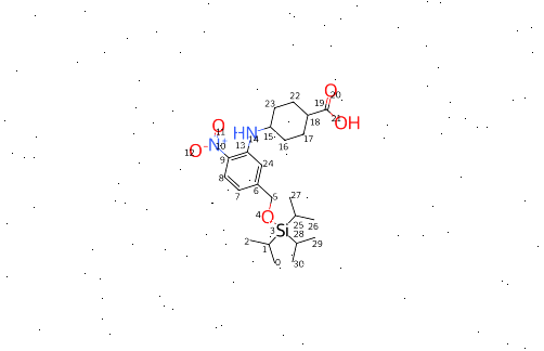 CC(C)[Si](OCc1ccc([N+](=O)[O-])c(NC2CCC(C(=O)O)CC2)c1)(C(C)C)C(C)C